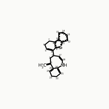 C=C1CC(C2=CCCc3c2sc2ccccc32)/C=C\NC2=CCCC=C12